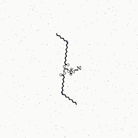 CCCCCC/C=C\CCCCCCCCCC(=O)O[C@H](COC(=O)CCCCCCC/C=C\CCCCCCCC)COP(=O)([O-])OCC[N+](C)(C)C